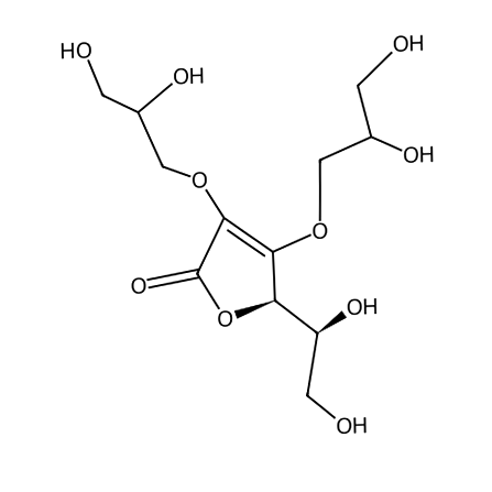 O=C1O[C@H]([C@@H](O)CO)C(OCC(O)CO)=C1OCC(O)CO